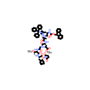 C[C@@H](OC(C)(C)C)[C@H](NC(=O)CNC(=O)[C@H](CCC(=O)OC(C)(C)C)NC(=O)C(C)(C)NC(=O)[C@H](Cc1cn(C(c2ccccc2)(c2ccccc2)c2ccccc2)cn1)NC(=O)OCC1c2ccccc2-c2ccccc21)C(=O)N[C@@H](Cc1ccccc1)C(=O)ON1C(=O)CCC1=O